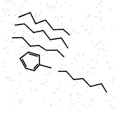 CCCCCCC.CCCCCCC.CCCCCCC.CCCCCCC.Cc1ccccc1